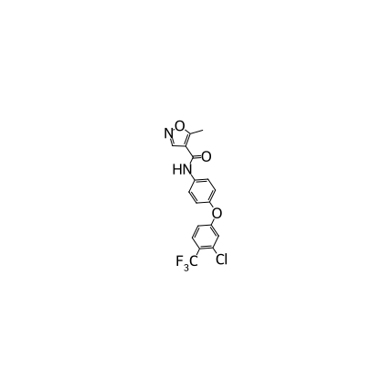 Cc1oncc1C(=O)Nc1ccc(Oc2ccc(C(F)(F)F)c(Cl)c2)cc1